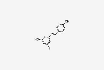 Oc1ccc(/C=C/c2cc(O)cc(I)c2)cc1